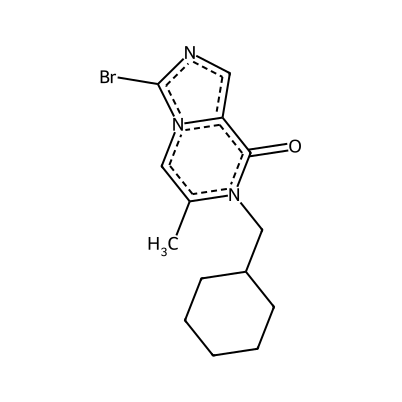 Cc1cn2c(Br)ncc2c(=O)n1CC1CCCCC1